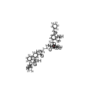 CC(C)(C)OC(=O)N(CCCCNC(=O)c1cccc(C(O)(C(=O)OC2CN3CCC2CC3)c2ccccc2)c1)CC(O[Si](C)(C)C(C)(C)C)c1ccc(OCc2ccccc2)c2c1C=CCN2